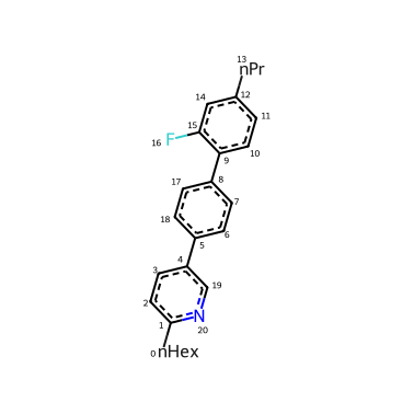 CCCCCCc1ccc(-c2ccc(-c3ccc(CCC)cc3F)cc2)cn1